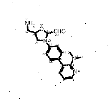 CN(C)c1ncccc1-c1ccc(N2CC(CN)OC2C=O)cc1